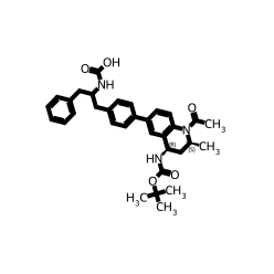 CC(=O)N1c2ccc(-c3ccc(CC(Cc4ccccc4)NC(=O)O)cc3)cc2[C@H](NC(=O)OC(C)(C)C)C[C@@H]1C